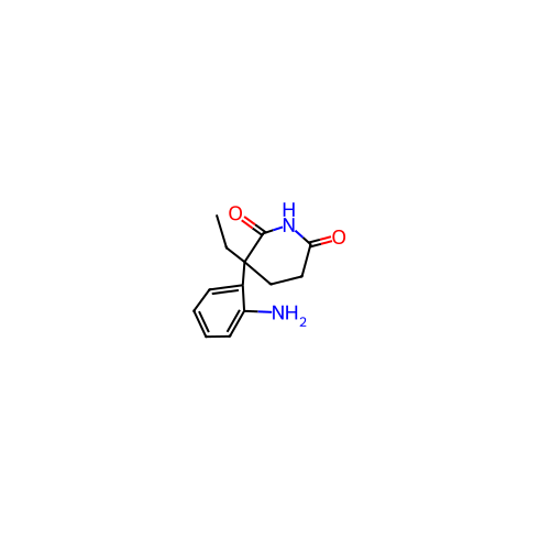 CCC1(c2ccccc2N)CCC(=O)NC1=O